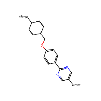 CCCCCCCC1CCC(COc2ccc(-c3ncc(CCCCC)cn3)cc2)CC1